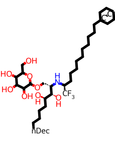 CCCCCCCCCCCCCC[C@@H](O)[C@@H](O)[C@H](COC1OC(CO)C(O)C(O)C1O)N[C@@H](CCCCCCCCCCC12CCC(CC1)CC2)C(F)(F)F